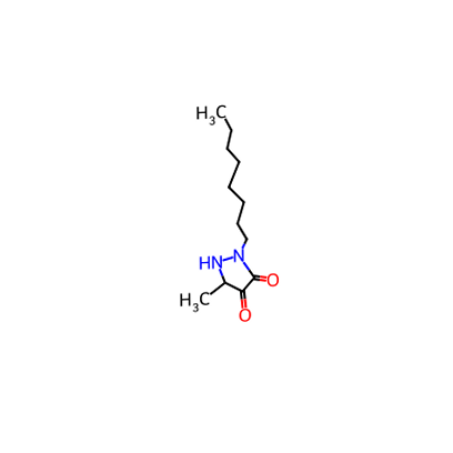 CCCCCCCCN1NC(C)C(=O)C1=O